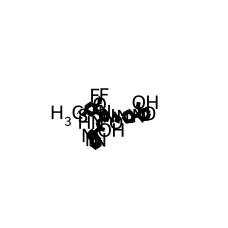 CSc1ccc(OC(F)F)c(-c2nn(CC(=O)N3CCC(N4CCOCC4CO)CC3)cc2NC(O)c2cnn3cccnc23)c1